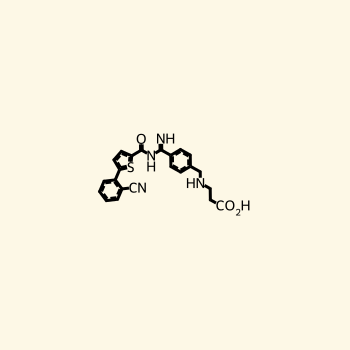 N#Cc1ccccc1-c1ccc(C(=O)NC(=N)c2ccc(CNCCC(=O)O)cc2)s1